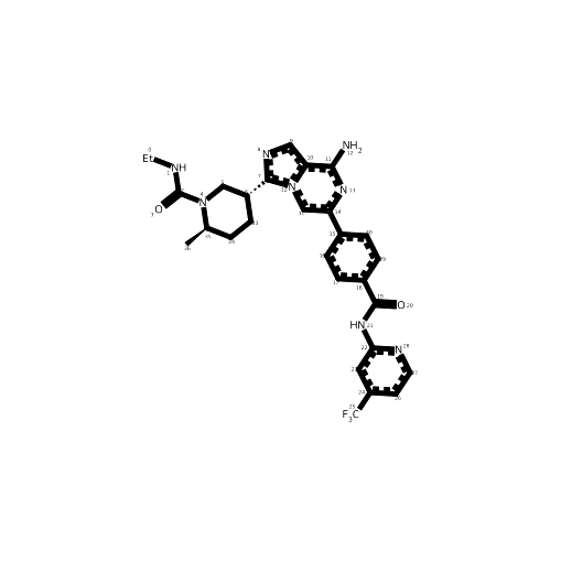 CCNC(=O)N1C[C@H](c2ncc3c(N)nc(-c4ccc(C(=O)Nc5cc(C(F)(F)F)ccn5)cc4)cn23)CC[C@H]1C